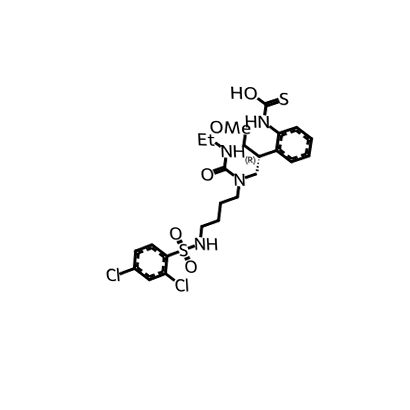 CCNC(=O)N(CCCCNS(=O)(=O)c1ccc(Cl)cc1Cl)C[C@H](COC)c1ccccc1NC(O)=S